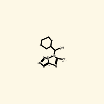 OC(C1CCCCC1)[SH]1C(C(F)(F)F)=Nc2cncn21